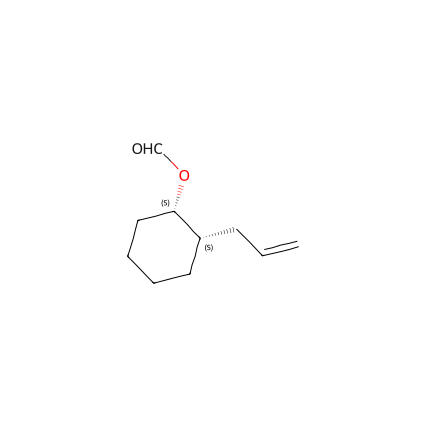 C=CC[C@@H]1CCCC[C@@H]1OC=O